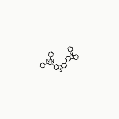 c1ccc(-c2cc(-c3ccc4sc5ccc(-c6ccc7c(c6)c6ccccc6n7-c6ccccc6)cc5c4c3)nc(-c3ccccc3)n2)cc1